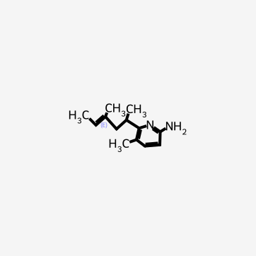 C/C=C(\C)CC(C)c1nc(N)ccc1C